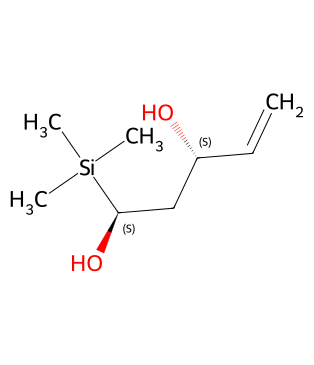 C=C[C@@H](O)C[C@@H](O)[Si](C)(C)C